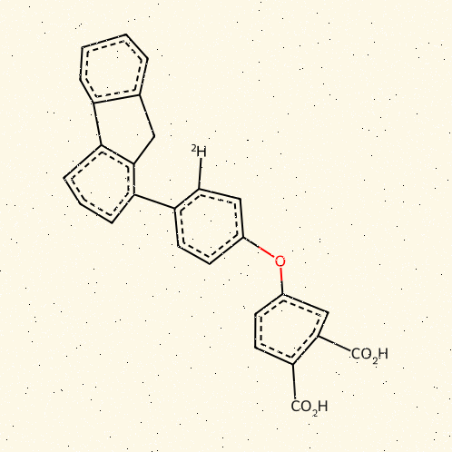 [2H]c1cc(Oc2ccc(C(=O)O)c(C(=O)O)c2)ccc1-c1cccc2c1Cc1ccccc1-2